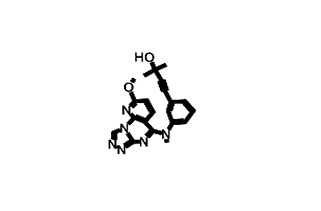 COc1ccc2c(N(C)c3cccc(C#CC(C)(C)O)c3)nc3nncn3c2n1